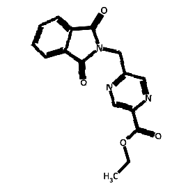 CCOC(=O)c1cnc(CN2C(=O)c3ccccc3C2=O)cn1